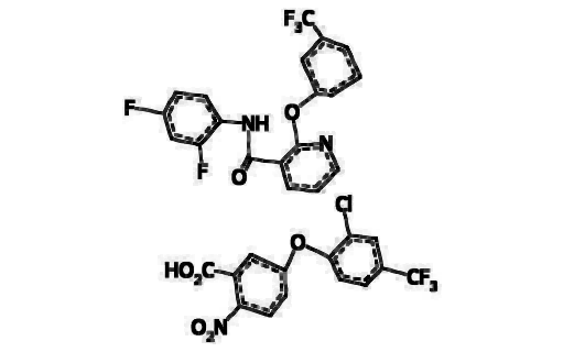 O=C(Nc1ccc(F)cc1F)c1cccnc1Oc1cccc(C(F)(F)F)c1.O=C(O)c1cc(Oc2ccc(C(F)(F)F)cc2Cl)ccc1[N+](=O)[O-]